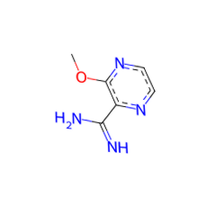 COc1nccnc1C(=N)N